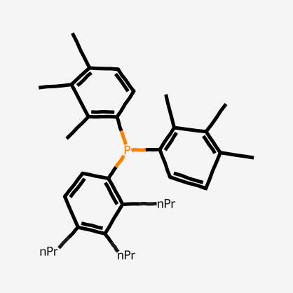 CCCc1ccc(P(c2ccc(C)c(C)c2C)c2ccc(C)c(C)c2C)c(CCC)c1CCC